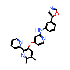 Cc1cc(Oc2ccnc(Nc3cccc(-c4cnco4)c3)c2)c(-c2ccccn2)nc1C